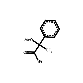 COC(C(=O)C(C)C)(c1ccccc1)C(F)(F)F